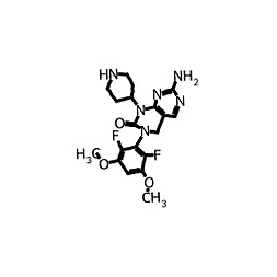 COc1cc(OC)c(F)c(N2Cc3cnc(N)nc3N(C3CCNCC3)C2=O)c1F